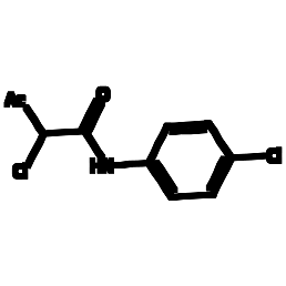 CC(=O)C(Cl)C(=O)Nc1ccc(Cl)cc1